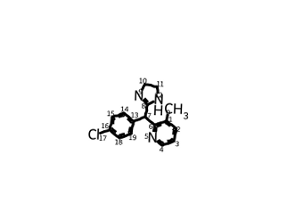 Cc1cccnc1C(C1=NCCN1)c1ccc(Cl)cc1